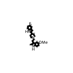 COc1ccc2[nH]c(C)c(CCN3CCC(c4cc5cc(F)ccc5[nH]4)CC3)c2c1